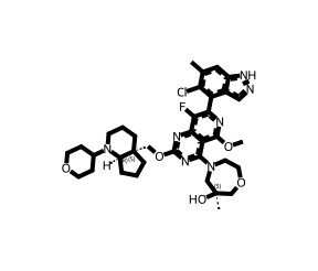 COc1nc(-c2c(Cl)c(C)cc3[nH]ncc23)c(F)c2nc(OC[C@]34CCC[C@H]3N(C3CCOCC3)CCC4)nc(N3CCOC[C@@](C)(O)C3)c12